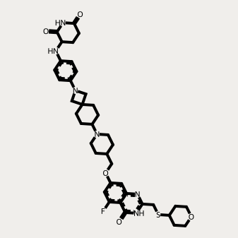 O=C1CCC(Nc2ccc(N3CC4(CCC(N5CCC(COc6cc(F)c7c(=O)[nH]c(CSC8CCOCC8)nc7c6)CC5)CC4)C3)cc2)C(=O)N1